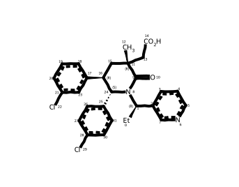 CC[C@H](c1cccnc1)N1C(=O)[C@@](C)(CC(=O)O)C[C@H](c2cccc(Cl)c2)[C@H]1c1ccc(Cl)cc1